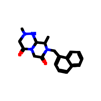 CC1C2NN(C)CC(=O)N2CC(=O)N1Cc1cccc2ccccc12